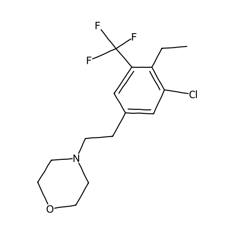 CCc1c(Cl)cc(CCN2CCOCC2)cc1C(F)(F)F